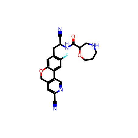 N#Cc1cc2c(cn1)-c1cc(F)c(CC(C#N)NC(=O)C3CNCCCO3)cc1OC2